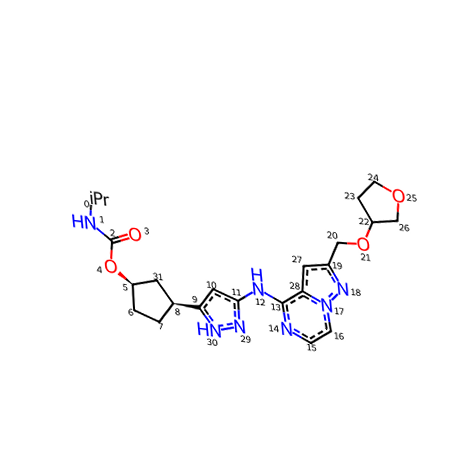 CC(C)NC(=O)O[C@@H]1CC[C@H](c2cc(Nc3nccn4nc(COC5CCOC5)cc34)n[nH]2)C1